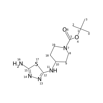 CC(C)(C)OC(=O)N1CCC(Nc2nnc(N)s2)CC1